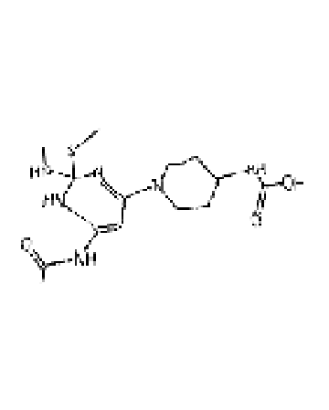 CNC1(SC)N=C(N2CCC(NC(=O)O)CC2)C=C(NC(C)=O)N1